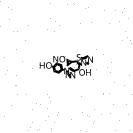 O=[N+]([O-])c1cc(-n2cc(C(O)c3c(C4CC4)sc4cncn34)nn2)ccc1O